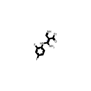 CCC(=O)/C(C=N)=C(\N)Nc1ccc(F)cc1F